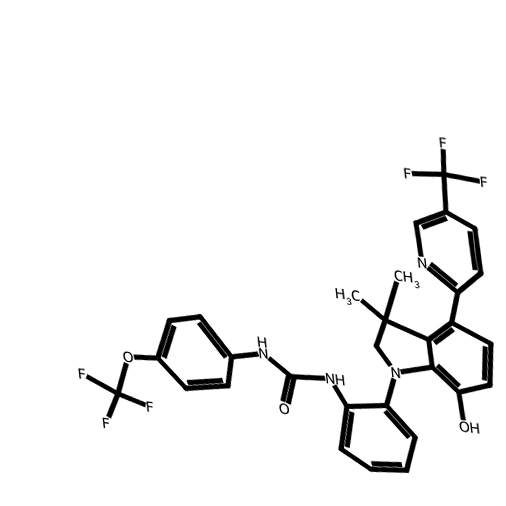 CC1(C)CN(c2ccccc2NC(=O)Nc2ccc(OC(F)(F)F)cc2)c2c(O)ccc(-c3ccc(C(F)(F)F)cn3)c21